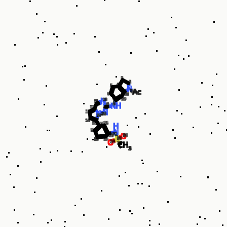 CC(=O)N1CCc2ccc(Nc3ncc4ccc(-c5cccc(NS(C)(=O)=O)c5)n4n3)cc21